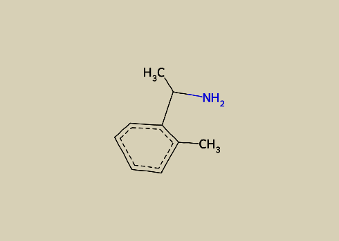 Cc1ccccc1C(C)N